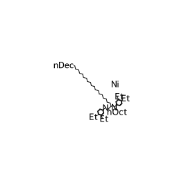 CCCCCCCCCCCCCCCCCCCCCCCCCCCCCC(=N\c1ccc(CC)c(CC)c1)/C(CCCCCCCC)=N/c1ccc(CC)c(CC)c1.[Ni]